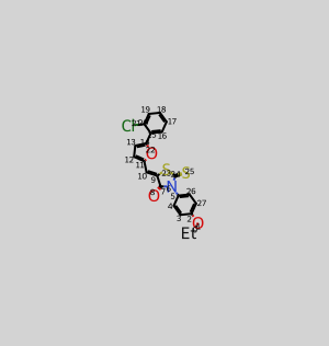 CCOc1ccc(N2C(=O)C(=Cc3ccc(-c4ccccc4Cl)o3)SC2=S)cc1